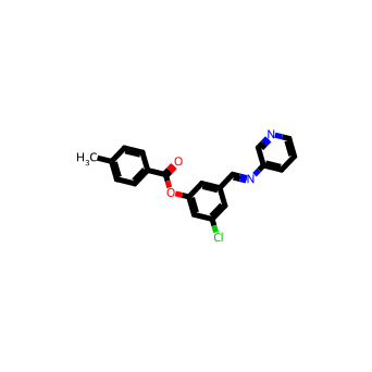 Cc1ccc(C(=O)Oc2cc(Cl)cc(C=Nc3cccnc3)c2)cc1